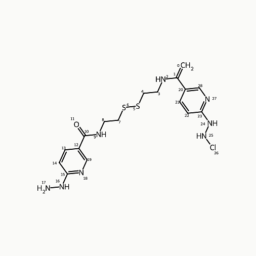 C=C(NCCSSCCNC(=O)c1ccc(NN)nc1)c1ccc(NNCl)nc1